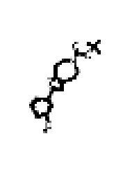 COc1cccc(-c2cc3c(s2)CCN(C(=O)OC(C)(C)C)CC3)c1